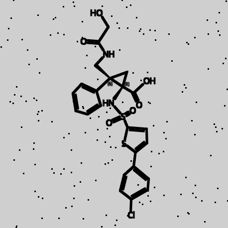 O=C(CO)NC[C@@]1(c2ccccc2)C[C@]1(NS(=O)(=O)c1ccc(-c2ccc(Cl)cc2)s1)C(=O)O